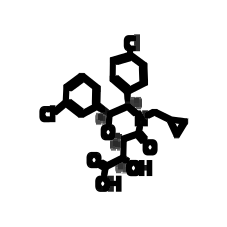 O=C(O)[C@H](O)[C@@H]1O[C@@H](c2cccc(Cl)c2)[C@@H](c2ccc(Cl)cc2)N(CC2CC2)C1=O